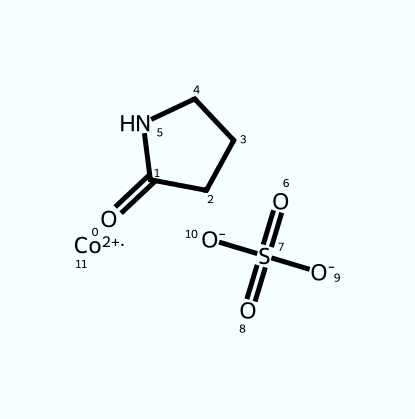 O=C1CCCN1.O=S(=O)([O-])[O-].[Co+2]